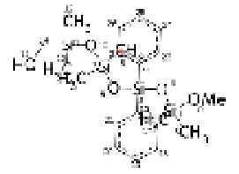 CO[Si](C)(C)O[Si](O[Si](C)(C)O[Si](C)(C)CO)(c1ccccc1)c1ccccc1